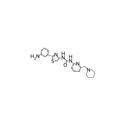 Nc1cccc(-c2nc(NC(=O)Nc3cccc(CN4CCCCC4)n3)cs2)c1